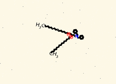 CCCCCCCCCCCCCCCCOCC(CCN(Cc1ccccc1)Cc1ccccc1)OCCCCCCCCCCCCCCCC